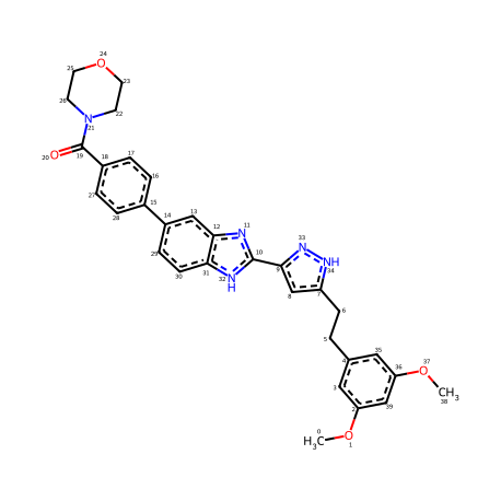 COc1cc(CCc2cc(-c3nc4cc(-c5ccc(C(=O)N6CCOCC6)cc5)ccc4[nH]3)n[nH]2)cc(OC)c1